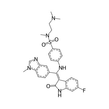 CN(C)CCN(C)S(=O)(=O)c1ccc(NC(=C2C(=O)Nc3cc(F)ccc32)c2ccc3c(c2)ncn3C)cc1